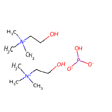 C[N+](C)(C)CCO.C[N+](C)(C)CCO.[O-]P([O-])O